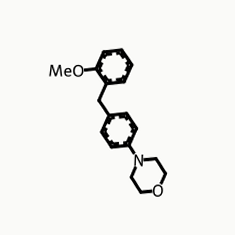 COc1ccccc1Cc1ccc(N2CCOCC2)cc1